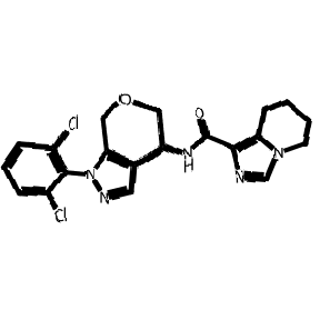 O=C(NC1COCc2c1cnn2-c1c(Cl)cccc1Cl)c1ncn2c1CCCC2